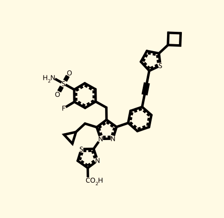 NS(=O)(=O)c1ccc(Cc2c(-c3cccc(C#Cc4ccc(C5CCC5)s4)c3)nn(-c3nc(C(=O)O)cs3)c2CC2CC2)cc1F